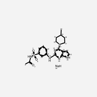 CC(=O)NS(=O)(=O)c1cccc(Nc2nc(N3CCC(C)CC3)c3cc[nH]c3n2)c1.[NaH]